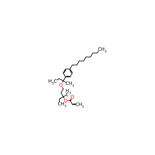 C=CC(=O)OC(C)(CC)CCOC(C)(CC)c1ccc(CCCCCCCCC)cc1